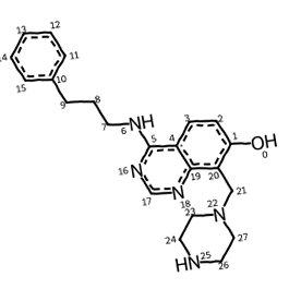 Oc1ccc2c(NCCCc3ccccc3)ncnc2c1CN1CCNCC1